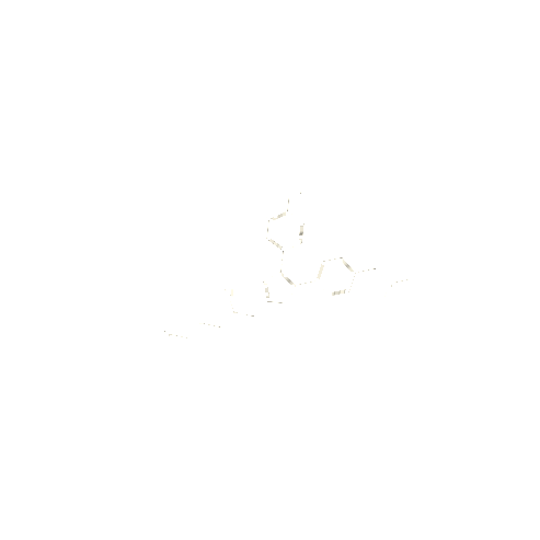 CN(C)Cc1ccc(-c2sc(CC(N)CCCNC=O)cc2-c2ccc(C#N)c(F)c2)cc1